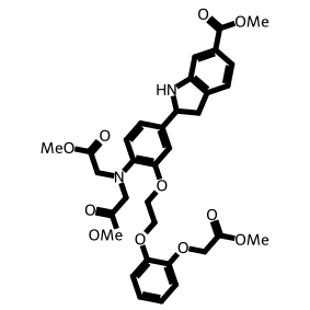 COC(=O)COc1ccccc1OCCOc1cc(C2Cc3ccc(C(=O)OC)cc3N2)ccc1N(CC(=O)OC)CC(=O)OC